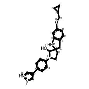 OC1N(c2ccc(-c3cn[nH]c3)cc2)CCC12Cc1ccc(OCC3CC3)cc1N2